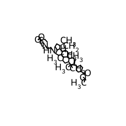 C=C(C)[C@@H]1CC[C@]2(NCCN3CCS(=O)(=O)CC3)CC[C@]3(C)[C@H](CCC4[C@@]5(C)CC=C(C6CCC(C(=O)OCC)CC6)C(C)(C)C5CC[C@]43C)C12